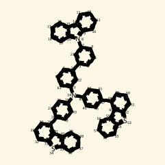 c1cc(-c2cccc(-n3c4ccccc4c4ccccc43)c2)cc(N(c2ccc(-c3cccc4sc5ccccc5c34)cc2)c2ccc(-c3cccc4sc5ccccc5c34)cc2)c1